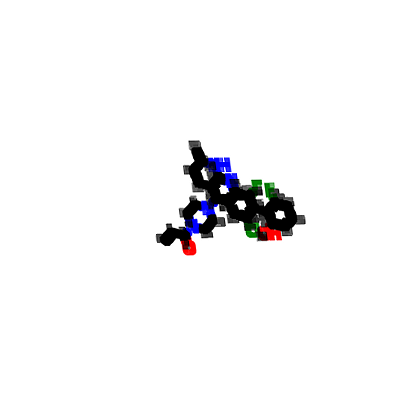 C=CC(=O)N1CCN(c2c3c(nc4c(F)c(-c5c(O)cccc5F)c(Cl)cc24)NC(=C)C=C3)CC1